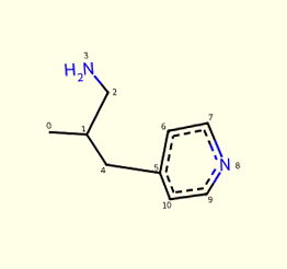 CC(CN)Cc1ccncc1